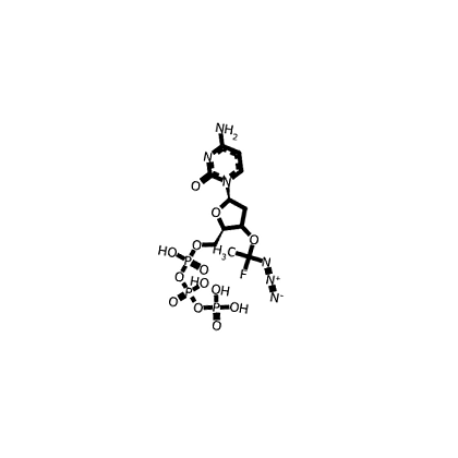 CC(F)(N=[N+]=[N-])OC1C[C@H](n2ccc(N)nc2=O)O[C@@H]1COP(=O)(O)OP(=O)(O)OP(=O)(O)O